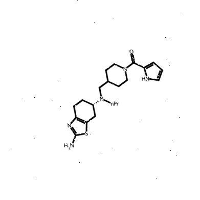 CCCN(CC1CCN(C(=O)c2ccc[nH]2)CC1)[C@H]1CCc2nc(N)sc2C1